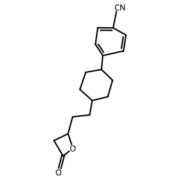 N#Cc1ccc(C2CCC(CCC3CC(=O)O3)CC2)cc1